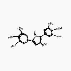 CCCCC1=C(c2cc(CCCC)c(CCCC)c(CCCC)c2)[N+](=[N-])C(c2cc(CCCC)c(CCCC)c(CCCC)c2)=C1